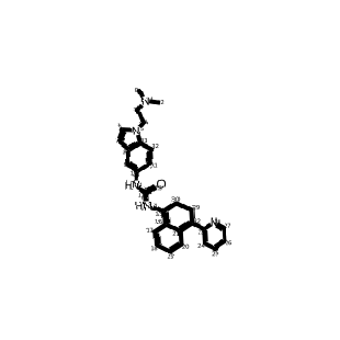 CN(C)CCn1ccc2cc(NC(=O)NC3=c4ccccc4=C(c4ccccn4)CC3)ccc21